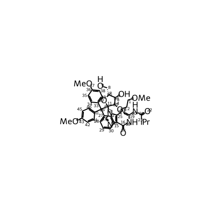 COCCO[C@@H]1[C@H](O)[C@@H](CO)O[C@]1(n1cnc2c(=O)[nH]c(NC(=O)C(C)C)nc21)C(c1ccccc1)(c1ccc(OC)cc1)c1ccc(OC)cc1